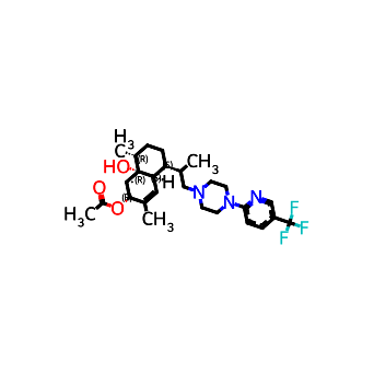 CC(=O)O[C@@H]1[CH][C@@]2(O)[C@H](C)CC[C@@H](C(C)CN3CCN(c4ccc(C(F)(F)F)cn4)CC3)[C@H]2C=C1C